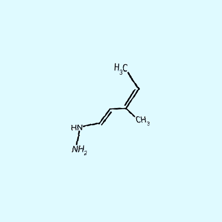 C/C=C(C)\C=C\NN